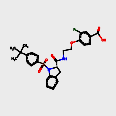 CC(C)(C)c1ccc(S(=O)(=O)N2c3ccccc3C[C@H]2C(=O)NCCOc2ccc(C(=O)O)cc2F)cc1